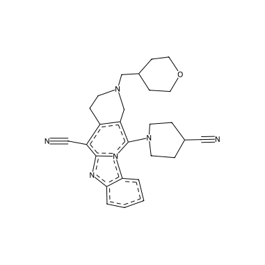 N#Cc1c2c(c(N3CCC(C#N)CC3)n3c1nc1ccccc13)CN(CC1CCOCC1)CC2